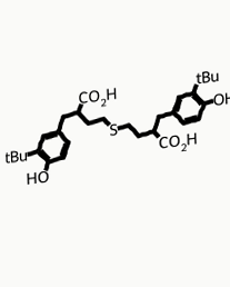 CC(C)(C)c1cc(CC(CCSCCC(Cc2ccc(O)c(C(C)(C)C)c2)C(=O)O)C(=O)O)ccc1O